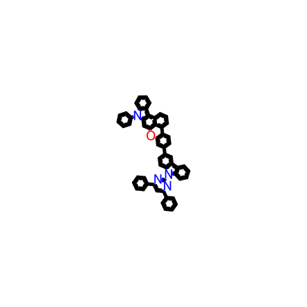 c1ccc(-c2cc(-c3ccccc3)nc(-n3c4ccccc4c4cc(-c5ccc6c(c5)Oc5cc7c(c8cccc-6c58)c5ccccc5n7-c5ccccc5)ccc43)n2)cc1